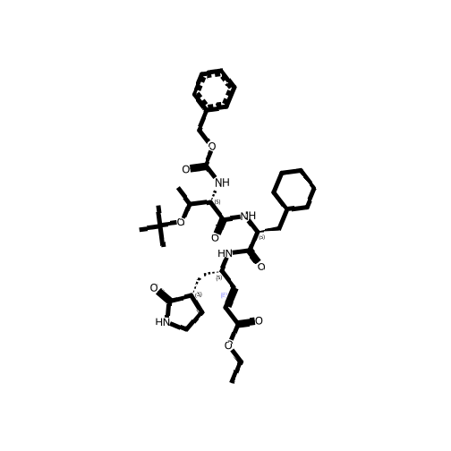 CCOC(=O)/C=C/[C@H](C[C@@H]1CCNC1=O)NC(=O)[C@H](CC1CCCCC1)NC(=O)[C@@H](NC(=O)OCc1ccccc1)C(C)OC(C)(C)C